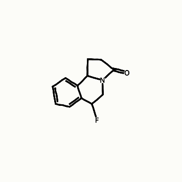 O=C1CCC2c3ccccc3C(F)CN12